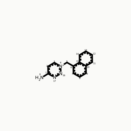 Nc1cc[n+](Cc2cccc3ccccc23)nn1